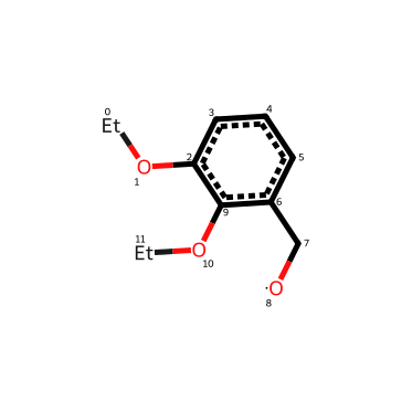 CCOc1cccc(C[O])c1OCC